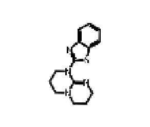 c1ccc2sc(N3CCCN4CCCN=C43)nc2c1